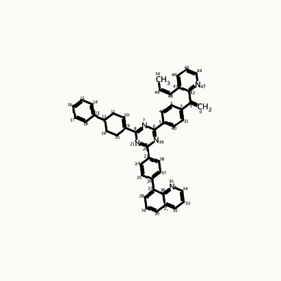 C=C(c1ccc(-c2nc(C3=CCC(c4ccccc4)CC3)nc(-c3ccc(-c4cccc5cccnc45)cc3)n2)cc1)c1ncccc1/C=C\C